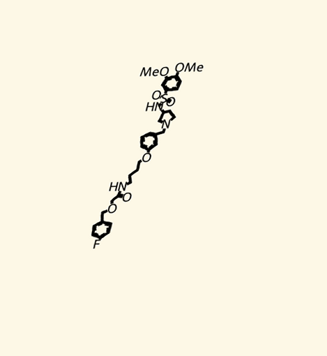 COc1ccc(S(=O)(=O)NC2CCN(Cc3cccc(OCCCCNC(=O)COCc4ccc(F)cc4)c3)C2)cc1OC